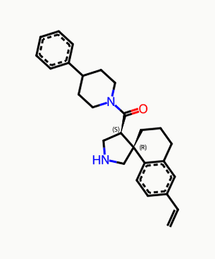 C=Cc1ccc2c(c1)CCC[C@]21CNC[C@H]1C(=O)N1CCC(c2ccccc2)CC1